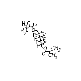 C=C(C)C(=O)OCC(F)(F)C(F)(F)C(F)(F)C(F)(F)COC(=O)C(=C)C